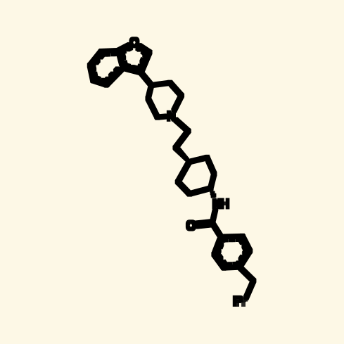 CC(C)Cc1ccc(C(=O)N[C@H]2CC[C@H](CCN3CCC(c4coc5ccccc45)CC3)CC2)cc1